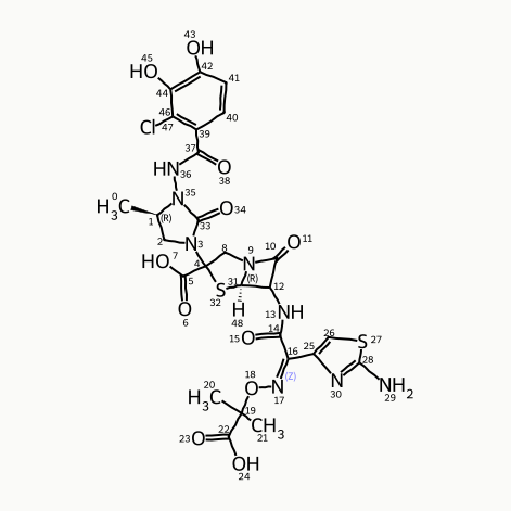 C[C@@H]1CN(C2(C(=O)O)CN3C(=O)C(NC(=O)/C(=N\OC(C)(C)C(=O)O)c4csc(N)n4)[C@H]3S2)C(=O)N1NC(=O)c1ccc(O)c(O)c1Cl